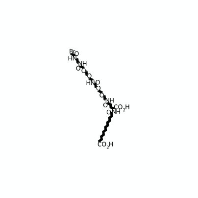 O=C(O)CCCCCCCCCCCCC(=O)N[C@@H](CCC(=O)NCCOCCOCC(=O)NCCOCCOCC(=O)NCCNC(=O)CBr)C(=O)O